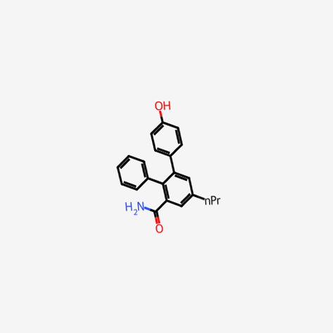 CCCc1cc(C(N)=O)c(-c2ccccc2)c(-c2ccc(O)cc2)c1